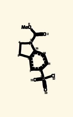 COC(=O)N1CCc2cc(S(=O)(=O)Cl)ccc21